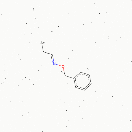 CC(=O)C/C=N/OCc1ccccc1